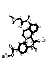 CN(C)CC(=O)N(C)c1cccc2c1CCNC2C(=O)N(C)c1ccc(C(=O)OC(C)(C)C)cc1.Cl